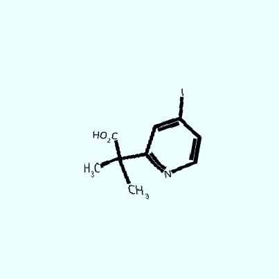 CC(C)(C(=O)O)c1cc(I)ccn1